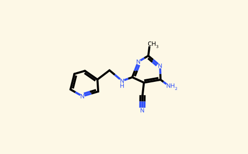 Cc1nc(N)c(C#N)c(NCc2cccnc2)n1